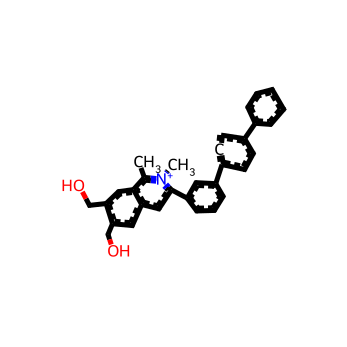 Cc1c2cc(CO)c(CO)cc2cc(-c2cccc(-c3ccc(-c4ccccc4)cc3)c2)[n+]1C